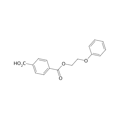 O=C(O)c1ccc(C(=O)OCCOc2ccccc2)cc1